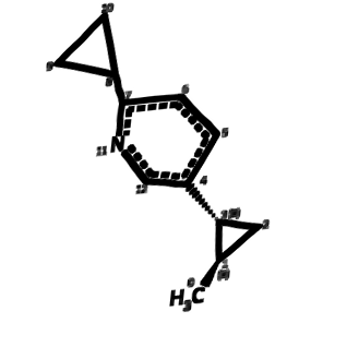 C[C@@H]1C[C@H]1c1ccc(C2CC2)nc1